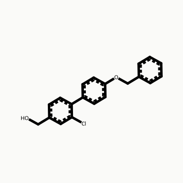 OCc1ccc(-c2ccc(OCc3ccccc3)cc2)c(Cl)c1